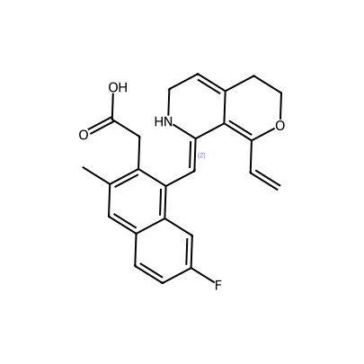 C=CC1=C2C(=CCN/C2=C\c2c(CC(=O)O)c(C)cc3ccc(F)cc23)CCO1